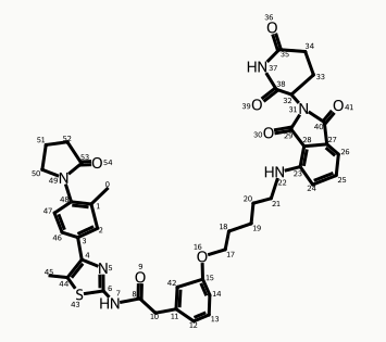 Cc1cc(-c2nc(NC(=O)Cc3cccc(OCCCCCNc4cccc5c4C(=O)N(C4CCC(=O)NC4=O)C5=O)c3)sc2C)ccc1N1CCCC1=O